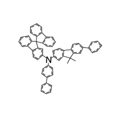 CC1(C)c2cc(-c3ccccc3)ccc2-c2ccc(N(c3ccc(-c4ccccc4)cc3)c3ccc4c(c3)C3(c5ccccc5-c5ccccc53)c3ccccc3-4)cc21